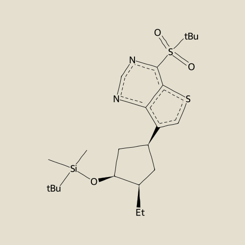 CC[C@@H]1C[C@H](c2csc3c(S(=O)(=O)C(C)(C)C)ncnc23)C[C@@H]1O[Si](C)(C)C(C)(C)C